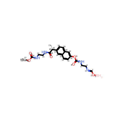 BOC=NCCNC(=O)Oc1ccc2cc([C@@H](C)C(=O)NCCNC(=O)OC(C)(C)C)ccc2c1